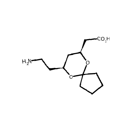 NCC[C@H]1C[C@@H](CC(=O)O)OC2(CCCC2)O1